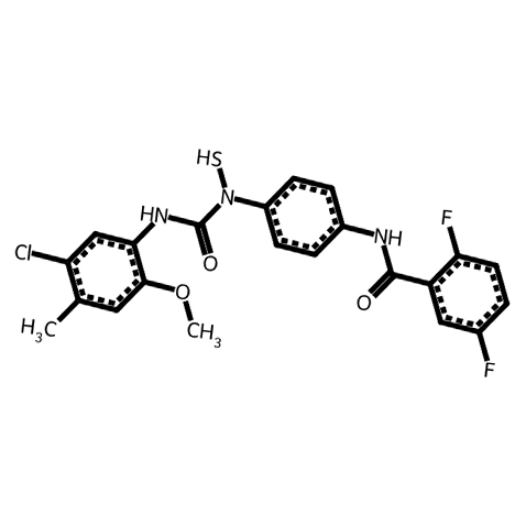 COc1cc(C)c(Cl)cc1NC(=O)N(S)c1ccc(NC(=O)c2cc(F)ccc2F)cc1